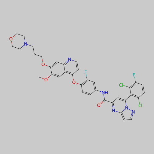 COc1cc2c(Oc3ccc(NC(=O)c4cc(-c5c(Cl)ccc(F)c5Cl)n5nccc5n4)cc3F)ccnc2cc1OCCCN1CCOCC1